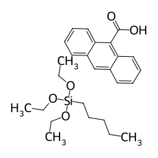 CCCCC[Si](OCC)(OCC)OCC.O=C(O)c1c2ccccc2cc2ccccc12